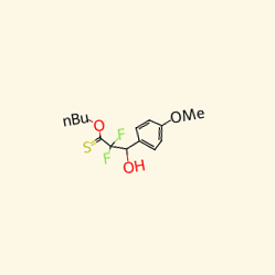 CCCCOC(=S)C(F)(F)C(O)c1ccc(OC)cc1